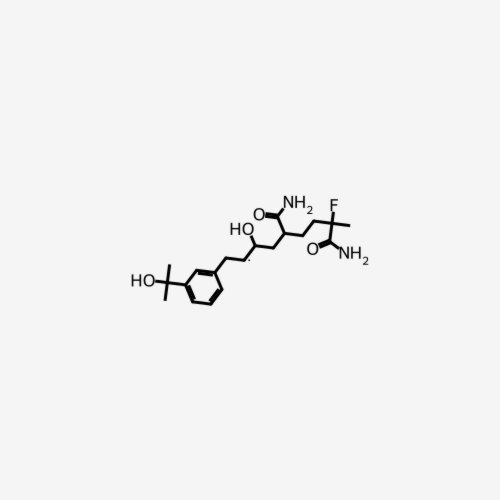 CC(F)(CCC(CC(O)[CH]Cc1cccc(C(C)(C)O)c1)C(N)=O)C(N)=O